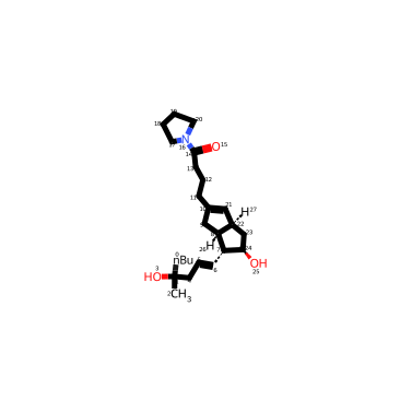 CCCCC(C)(O)CC=C[C@@H]1[C@H]2CC(CCCC(=O)N3CCCC3)=C[C@H]2C[C@H]1O